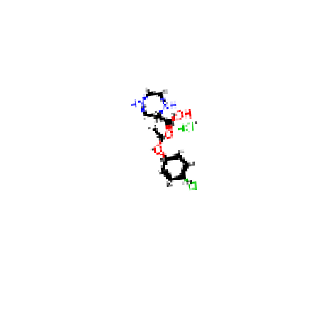 Cl.O=C(O)[C@@]1(CCOc2ccc(Cl)cc2)CNCCN1